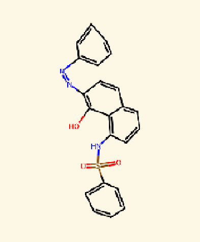 O=S(=O)(Nc1cccc2ccc(/N=N\c3ccccc3)c(O)c12)c1ccccc1